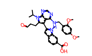 COc1ccc(CNc2ncnc3c2c(-c2cc4ccc(C(=O)O)cc4n2C)c(CCC=O)n3C(C)C)c(OC)c1